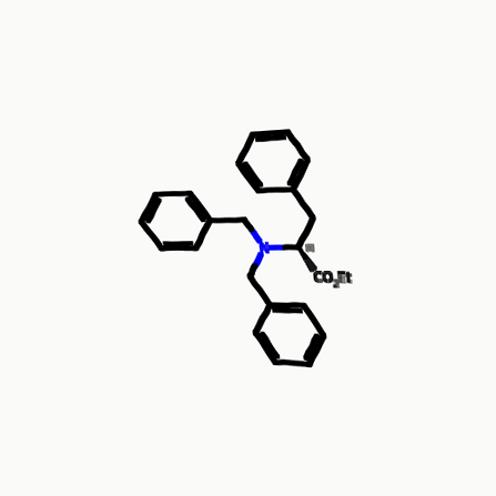 CCOC(=O)[C@H](Cc1ccccc1)N(Cc1ccccc1)Cc1ccccc1